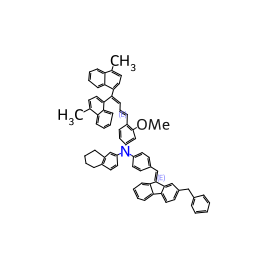 COc1cc(N(c2ccc(/C=C3\c4ccccc4-c4ccc(Cc5ccccc5)cc43)cc2)c2ccc3c(c2)CCCC3)ccc1/C=C/C=C(c1ccc(C)c2ccccc12)c1ccc(C)c2ccccc12